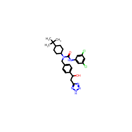 CC(C)(C)C1CCC(N(Cc2ccc(C(O)Cc3nn[nH]n3)cc2)C(=O)Nc2cc(Cl)cc(Cl)c2)CC1